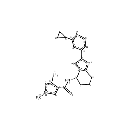 O=C(N[C@H]1CCCc2oc(-c3ccnc(C4CC4)c3)nc21)c1cn(C(F)(F)F)nc1C(F)(F)F